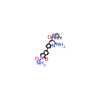 CCCN(CCC)C(=O)C1=Cc2ccc(-c3ccc4c(=O)n(CC(N)=O)ccc4c3)cc2N=C(N)C1